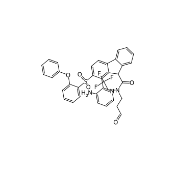 Nc1cccnc1-c1c(S(=O)(=O)c2ccccc2Oc2ccccc2)ccc2c1C(C(=O)N(CCC=O)CC(F)(F)F)c1ccccc1-2